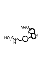 COc1ccc2nccc(N3CCC(CCNC(=O)O)CC3)c2n1